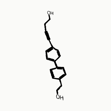 OCCC#Cc1ccc(-c2ccc(CCO)cc2)cc1